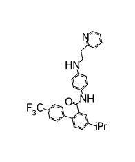 CC(C)c1ccc(-c2ccc(C(F)(F)F)cc2)c(C(=O)Nc2ccc(NCCc3ccccn3)cc2)c1